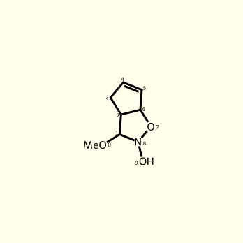 COC1C2CC=CC2ON1O